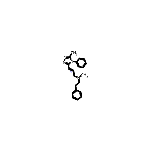 Cc1nnc(/C=C/CN(C)CCc2ccccc2)n1-c1ccccc1